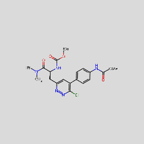 COC(=O)Nc1ccc(-c2cc(C[C@H](NC(=O)OC(C)(C)C)C(=O)N(C)C(C)C)nnc2Cl)cc1